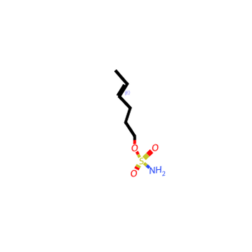 C/C=C/CCCOS(N)(=O)=O